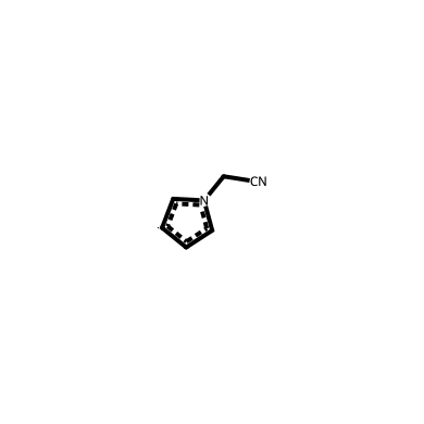 N#CCn1c[c]cc1